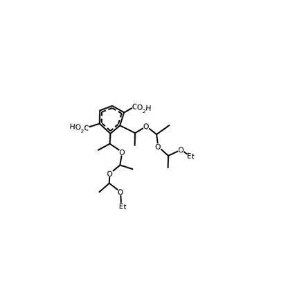 CCOC(C)OC(C)OC(C)c1c(C(=O)O)ccc(C(=O)O)c1C(C)OC(C)OC(C)OCC